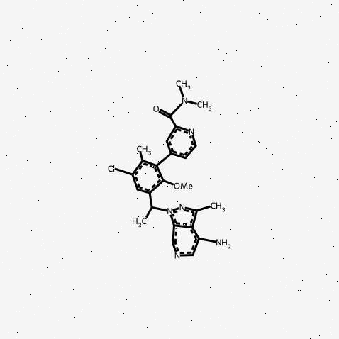 COc1c(C(C)n2nc(C)c3c(N)cncc32)cc(Cl)c(C)c1-c1ccnc(C(=O)N(C)C)c1